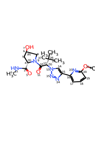 CNC(=O)[C@@H]1C[C@@H](O)CN1C(=O)[C@@H](n1cc(-c2cccc(OC)n2)nn1)C(C)(C)C